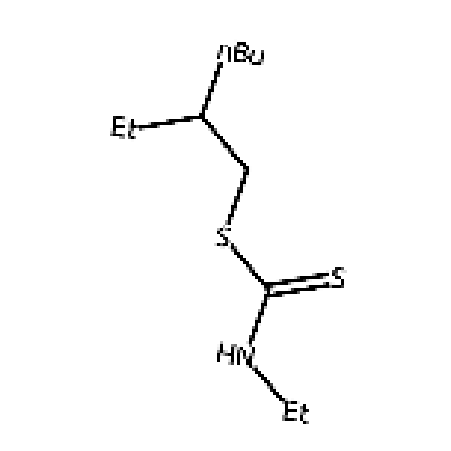 CCCCC(CC)CSC(=S)NCC